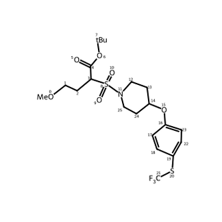 COCCC(C(=O)OC(C)(C)C)S(=O)(=O)N1CCC(Oc2ccc(SC(F)(F)F)cc2)CC1